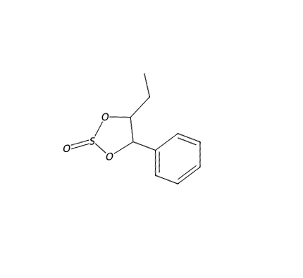 CCC1OS(=O)OC1c1ccccc1